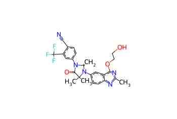 C=C1N(c2ccc(C#N)c(C(F)(F)F)c2)C(=O)C(C)(C)N1c1ccc2nc(C)nc(OCCO)c2c1